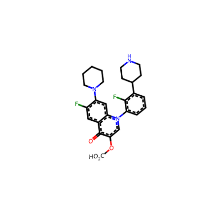 O=C(O)Oc1cn(-c2cccc(C3CCNCC3)c2F)c2cc(N3CCCCC3)c(F)cc2c1=O